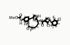 COC(=O)Nc1ccc2c(c1)NC(=O)C(F)CCC[C@H](NC(=O)c1cnn(-c3cccc(Cl)c3F)c1C)c1nc-2c[nH]1